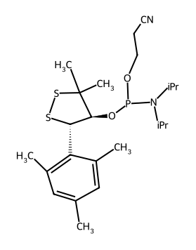 Cc1cc(C)c([C@@H]2SSC(C)(C)[C@H]2OP(OCCC#N)N(C(C)C)C(C)C)c(C)c1